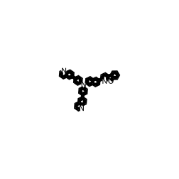 c1cnc2ccc(-c3ccc(N(c4ccc(-c5ccc6ncccc6c5)cc4)c4ccc5cc(-c6ccc7c(n6)oc6ccccc67)ccc5c4)cc3)cc2c1